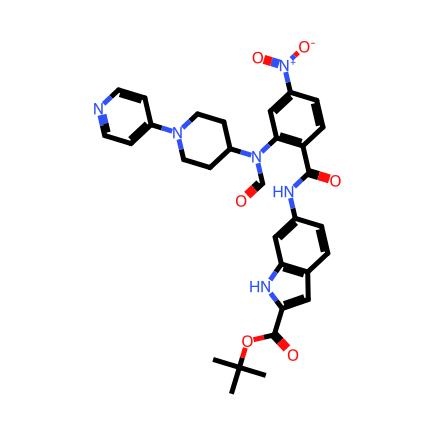 CC(C)(C)OC(=O)c1cc2ccc(NC(=O)c3ccc([N+](=O)[O-])cc3N(C=O)C3CCN(c4ccncc4)CC3)cc2[nH]1